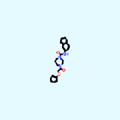 O=C(COc1ccccc1)N1CCCN(C(=O)Nc2ccc3ccccc3c2)CC1